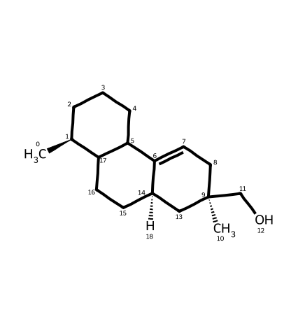 C[C@H]1CCCC2C3=CC[C@@](C)(CO)C[C@H]3CCC21